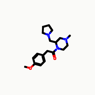 COc1ccc(CC(=O)N2CCN(C)CC2CN2CCCC2)cc1